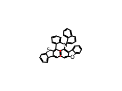 c1ccc(N(c2cccc3ccccc23)c2cccc3oc4ccccc4c23)c(-c2cccc3c2sc2ccccc23)c1